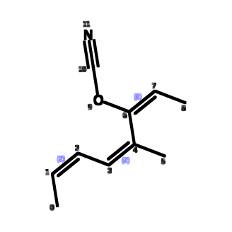 C\C=C/C=C(C)\C(=C/C)OC#N